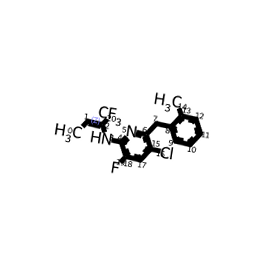 C/C=C(\Nc1nc(Cc2ccccc2C)c(Cl)cc1F)C(F)(F)F